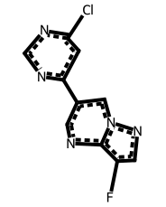 Fc1cnn2cc(-c3cc(Cl)ncn3)cnc12